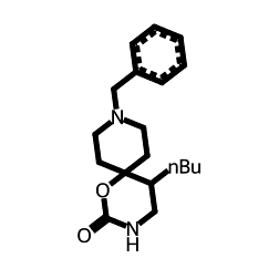 CCCCC1CNC(=O)OC12CCN(Cc1ccccc1)CC2